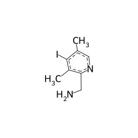 Cc1cnc(CN)c(C)c1I